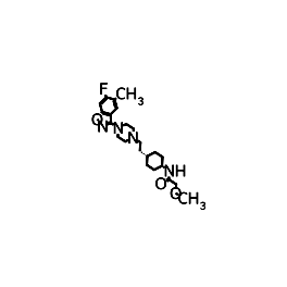 COCC(=O)N[C@H]1CC[C@H](CCN2CCN(c3noc4cc(F)c(C)cc34)CC2)CC1